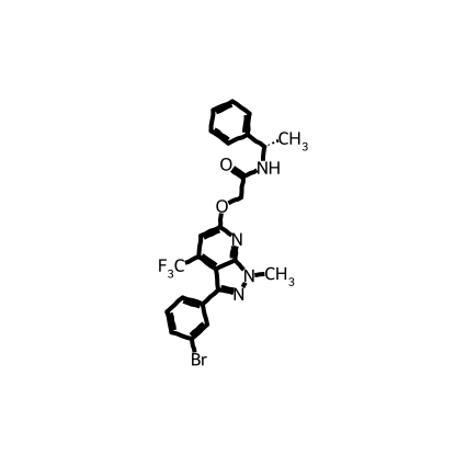 C[C@H](NC(=O)COc1cc(C(F)(F)F)c2c(-c3cccc(Br)c3)nn(C)c2n1)c1ccccc1